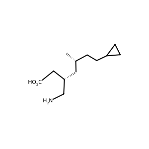 C[C@H](CCC1CC1)C[C@H](CN)CC(=O)O